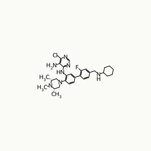 C[C@@H]1CN(c2ccc(-c3ccc(CNC4CCCCC4)cc3F)cc2Nc2ncnc(Cl)c2N)C[C@H](C)N1C